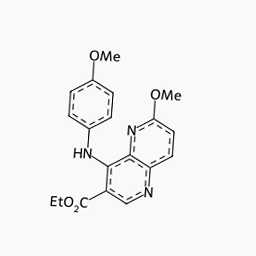 CCOC(=O)c1cnc2ccc(OC)nc2c1Nc1ccc(OC)cc1